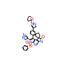 CN1C(=O)C2(CCCC2)c2c1cnc1c2c(-c2ccc(-c3cnn(C4CCCCO4)c3)cc2)c(-c2cnn(C)c2)n1S(=O)(=O)c1ccccc1